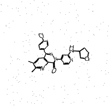 Cc1cc2c(-c3ccc(Cl)cc3)nn(-c3ccnc(NC4CCOC4)c3)c(=O)c2nc1C